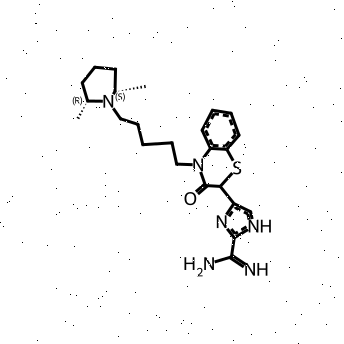 C[C@@H]1CCC[C@H](C)N1CCCCCN1C(=O)C(c2c[nH]c(C(=N)N)n2)Sc2ccccc21